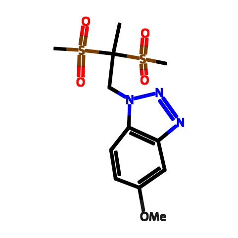 COc1ccc2c(c1)nnn2CC(C)(S(C)(=O)=O)S(C)(=O)=O